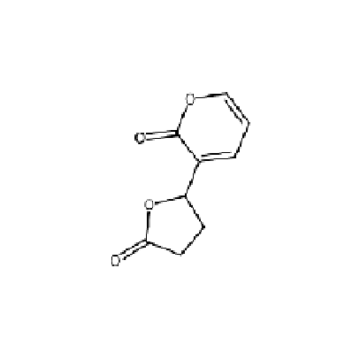 O=C1CCC(c2cccoc2=O)O1